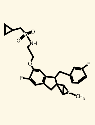 CN1C2C1C21Cc2cc(F)c(OCCNS(=O)(=O)CC3CC3)cc2C1Cc1cccc(F)c1